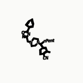 CCCCCC(c1ccc(C#N)c(C)c1)N1CCN(Cc2noc(-c3ccccc3)n2)CC1